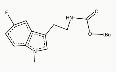 Cn1cc(CCNC(=O)OC(C)(C)C)c2cc(F)ccc21